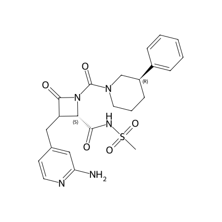 CS(=O)(=O)NC(=O)[C@@H]1C(Cc2ccnc(N)c2)C(=O)N1C(=O)N1CCC[C@H](c2ccccc2)C1